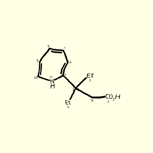 CCC(CC)(CC(=O)O)C1=CC=CC=CN1